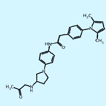 CC(=O)CNC1CCN(c2ccc(NC(=O)Cc3ccc(-n4c(C)ccc4C)cc3)cc2)C1